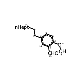 CCCCCCCCCc1ccc(OO)c(C=O)c1